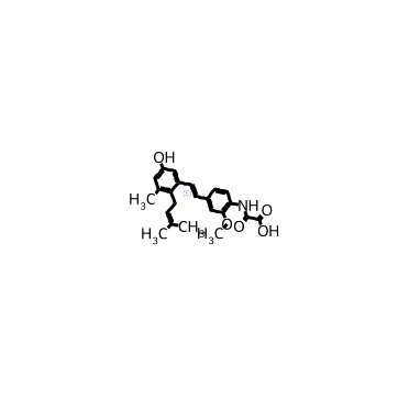 COc1cc(/C=C/c2cc(O)cc(C)c2CC=C(C)C)ccc1NC(=O)C(=O)O